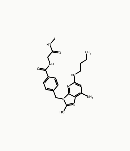 CCCCNc1nc(N)c2nc(O)n(Cc3ccc(C(=O)NCC(=O)NI)cc3)c2n1